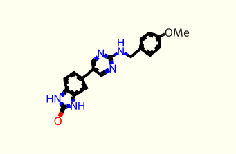 COc1ccc(CNc2ncc(-c3ccc4[nH]c(=O)[nH]c4c3)cn2)cc1